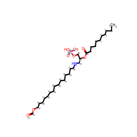 CCCCCCCCCCC(=O)O[C@@H](CNCCCCCCCCCCCCCCCOC=O)COP(=O)(O)O